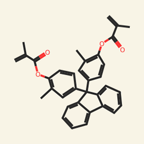 C=C(C)C(=O)Oc1ccc(C2(c3ccc(OC(=O)C(=C)C)c(C)c3)c3ccccc3-c3ccccc32)cc1C